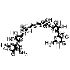 C[n+]1cn([C@@H]2O[C@H](COP(=O)(O)OCCSCCOP(=O)(O)OCC3O[C@@H](n4c[n+](C)c5c(=O)[nH]c(N)nc54)[C@H](O)[C@@H]3O)[C@@H](O)[C@H]2O)c2nc(N)[nH]c(=O)c21